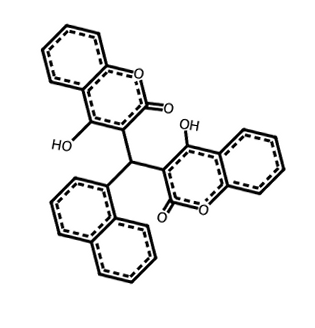 O=c1oc2ccccc2c(O)c1C(c1c(O)c2ccccc2oc1=O)c1cccc2ccccc12